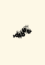 C=C(C)c1cc(F)c2c(=O)n(-c3cccc(-c4cc(NC5=NCCC(C)O5)c(=O)n(C)c4)c3CO)ncc2c1